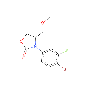 COCC1COC(=O)N1c1ccc(Br)c(F)c1